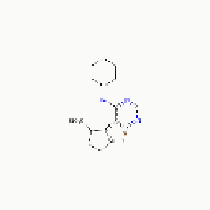 CCOC(=O)C1CCc2sc3ncnc(NC4CCCCC4)c3c21